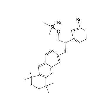 CC1(C)CCC(C)(C)c2cc3cc(/C=C(\CO[Si](C)(C)C(C)(C)C)c4cccc(Br)c4)ccc3cc21